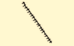 ClC(Cl)(Cl)C(Cl)(Cl)C(Cl)(Cl)C(Cl)(Cl)C(Cl)(Cl)C(Cl)(Cl)C(Cl)(Cl)C(Cl)(Cl)C(Cl)(Cl)C(Cl)(Cl)C(Cl)(Cl)C(Cl)(Cl)C(Cl)(Cl)C(Cl)(Cl)C(Cl)(Cl)C(Cl)(Cl)C(Cl)(Cl)C(Cl)(Cl)C(Cl)(Cl)C(Cl)(Cl)Cl